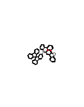 c1ccc(-c2ccccc2N(c2ccc3c(c2)C2(c4ccccc4-c4ccccc42)c2ccccc2-3)c2ccc3oc4ccccc4c3c2)cc1